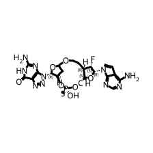 Nc1nc2c(nnn2[C@@H]2OC3C[C@H]2OP(O)(=S)OC[C@H]2O[C@@H](n4ccc5c(N)ncnc54)[C@@H](F)[C@@H]2CCO3)c(=O)[nH]1